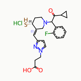 Cl.O=C(O)CCn1ccc(/C=C2\CN(C(C(=O)C3CC3)c3ccccc3F)CC[C@H]2S)n1